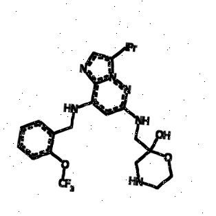 CC(C)c1cnc2c(NCc3ccccc3OC(F)(F)F)cc(NCC3(O)CNCCO3)nn12